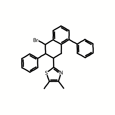 Cc1nc(C2Cc3c(-c4ccccc4)cccc3C(Br)C2c2ccccc2)sc1C